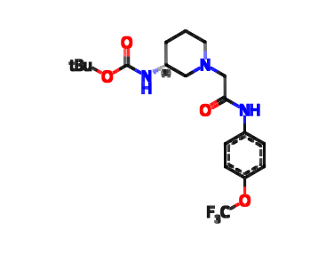 CC(C)(C)OC(=O)N[C@@H]1CCCN(CC(=O)Nc2ccc(OC(F)(F)F)cc2)C1